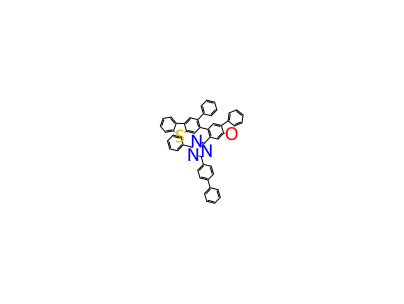 c1ccc(-c2ccc(-c3nc(-c4ccccc4)nc(-c4cc5oc6ccccc6c5cc4-c4cc5sc6ccccc6c5cc4-c4ccccc4)n3)cc2)cc1